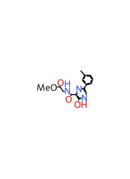 COC(=O)CNC(=O)c1nc(-c2cccc(C)c2)cnc1O